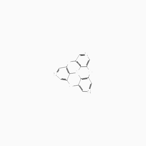 c1ncc2c3c1Oc1cncc4c1B3c1c(cncc1O4)O2